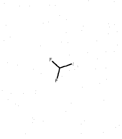 [C]C(F)F